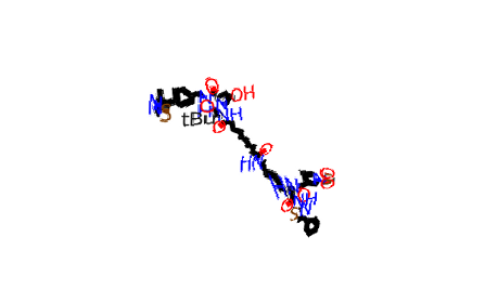 Cc1ncsc1-c1ccc(CNC(=O)[C@@H]2C[C@@H](O)CN2C(=O)[C@@H](NC(=O)CCCCCCCCC(=O)NCCCC[C@H](NC(=O)c2ccn(S(C)(=O)=O)c2)C(=O)Nc2nc(-c3ccccc3)cs2)C(C)(C)C)cc1